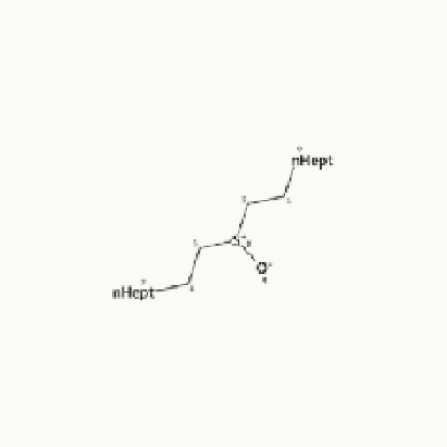 CCCCCCCCC[S+]([O-])CCCCCCCCC